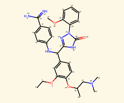 CCOc1cc(C(Nc2ccc(C(=N)N)cc2)c2nn(-c3ccccc3OC)c(=O)[nH]2)ccc1OC(C)CN(C)C